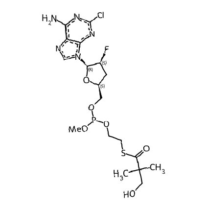 COP(OCCSC(=O)C(C)(C)CO)OC[C@@H]1C[C@H](F)[C@H](n2cnc3c(N)nc(Cl)nc32)O1